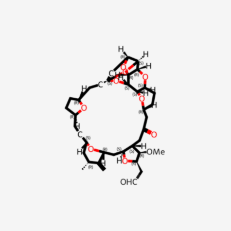 C=C1[C@H](C)C[C@@H]2CC[C@H]3CC[C@H](CC[C@@]45C[C@H]6O[C@H]7[C@@H](O4)[C@H]4O[C@H](CC[C@@H]4O[C@H]7[C@H]6O5)CC(=O)C[C@@H]4[C@@H](OC)[C@@H](CC=O)O[C@H]4C[C@H]1O2)O3